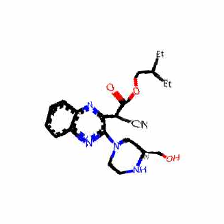 CCC(CC)COC(=O)C(C#N)c1nc2ccccc2nc1N1CCN[C@H](CO)C1